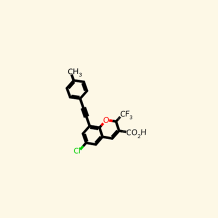 Cc1ccc(C#Cc2cc(Cl)cc3c2OC(C(F)(F)F)C(C(=O)O)=C3)cc1